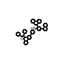 c1ccc(-c2oc3c4ccccc4c4ccc(-c5ccc(Nc6ccc(-c7cccc8ccccc78)cc6-c6cc7ccccc7c7ccccc67)cc5)cc4c3c2-c2ccccc2)cc1